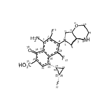 Nc1c(F)c(N2CC3NCCOC3C2)c(F)c2c1c(=O)c(C(=O)O)cn2[C@@H]1C[C@@H]1F